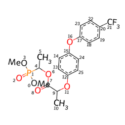 COP(=O)(OC)C(C)OC(=O)C(C)Oc1ccc(Oc2ccc(C(F)(F)F)cc2)cc1